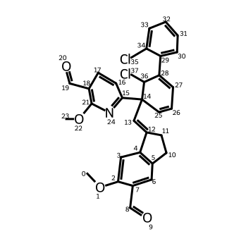 COc1cc2c(cc1C=O)CCC2=CC1(c2ccc(C=O)c(OC)n2)C=CC=C(c2ccccc2Cl)C1Cl